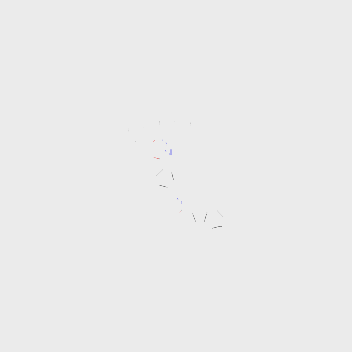 CCCN(NC(=O)c1ccc(CNC(=O)c2cc3cc(Cl)ccc3o2)cc1)C(=O)OC(C)(C)C